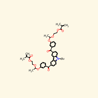 C=C(C)C(=O)OCCOC(C)Oc1cccc(C(=O)c2ccc3c(c2)c2cc(C(=O)c4cccc(OC(C)OCCOC(=O)C(=C)C)c4)ccc2n3C(C)CC)c1